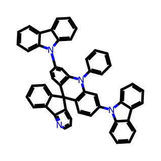 c1ccc(N2c3cc(-n4c5ccccc5c5ccccc54)ccc3C3(c4ccccc4-c4ncccc43)c3ccc(-n4c5ccccc5c5ccccc54)cc32)cc1